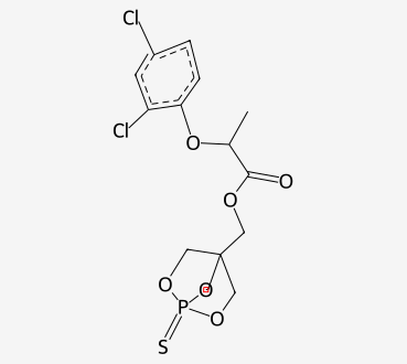 CC(Oc1ccc(Cl)cc1Cl)C(=O)OCC12COP(=S)(OC1)OC2